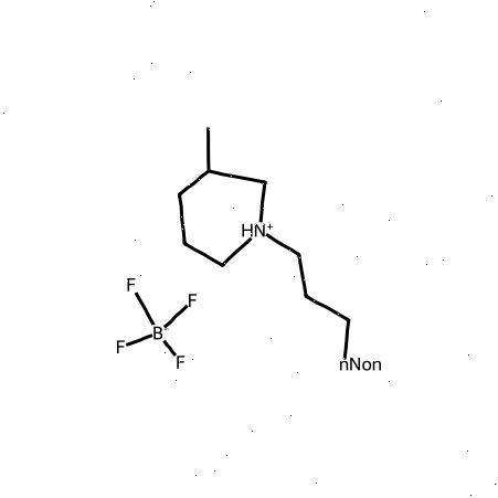 CCCCCCCCCCCC[NH+]1CCCC(C)C1.F[B-](F)(F)F